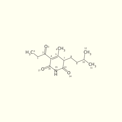 CCC(=O)C1=C(C)C(CCC(C)C)C(=O)NC1=O